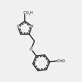 O=Cc1cccc(OCc2csc(C(=O)O)n2)c1